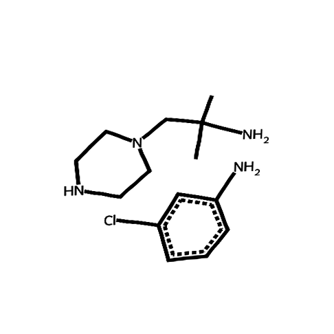 CC(C)(N)CN1CCNCC1.Nc1cccc(Cl)c1